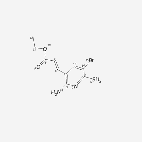 Bc1nc(N)c(/C=C/C(=O)OCC)cc1Br